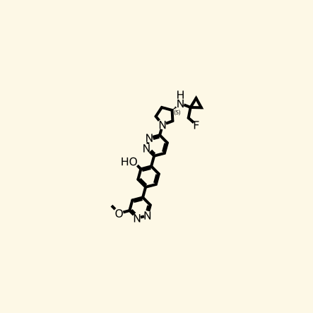 COc1cc(-c2ccc(-c3ccc(N4CC[C@H](NC5(CF)CC5)C4)nn3)c(O)c2)cnn1